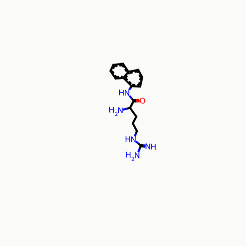 N=C(N)NCCCC(N)C(=O)Nc1cccc2ccccc12